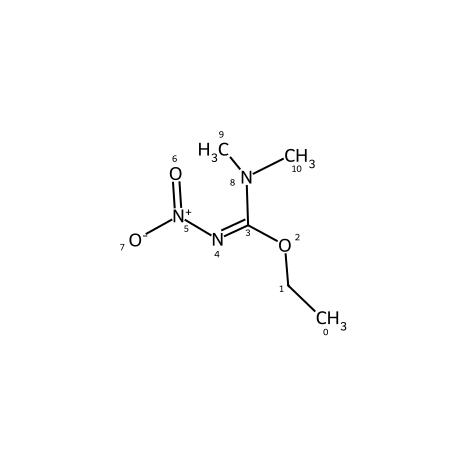 CCOC(=N[N+](=O)[O-])N(C)C